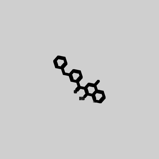 Cc1cc(C(=O)c2cccc(Cc3ccccc3)c2)c(O)c2ncccc12